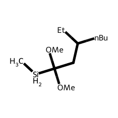 CCCCC(CC)CC(OC)(OC)[SiH2]C